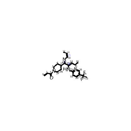 C=CC(=O)N1CCC(C(=N/C=C\C)/C(=C/CC)Nc2ccc(C(C)(F)F)cn2)CC1